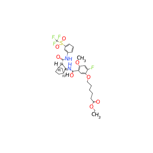 CCOC(=O)CCCCCOc1cc(C(=O)N[C@@H]2[C@H]3CC[C@H](C3)[C@@H]2C(=O)Nc2cccc(S(=O)(=O)C(F)(F)F)c2)c(OC)cc1F